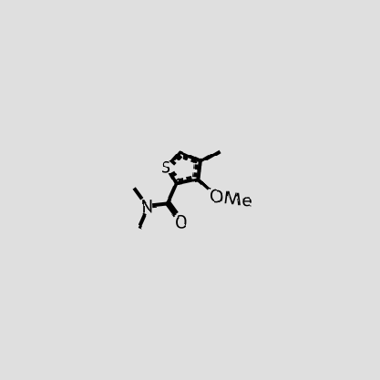 COc1c(C)csc1C(=O)N(C)C